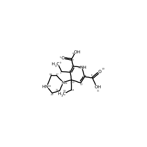 CCC1=C(C(=O)O)NC(C(=O)O)=CC1(CC)N1CCNCC1